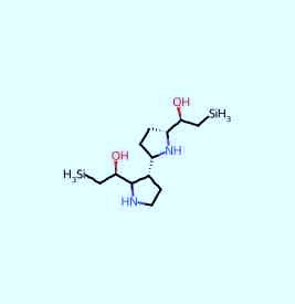 O[C@H](C[SiH3])C1NCC[C@H]1C1CC[C@H]([C@@H](O)C[SiH3])N1